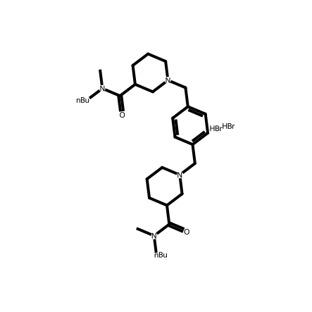 Br.Br.CCCCN(C)C(=O)C1CCCN(Cc2ccc(CN3CCCC(C(=O)N(C)CCCC)C3)cc2)C1